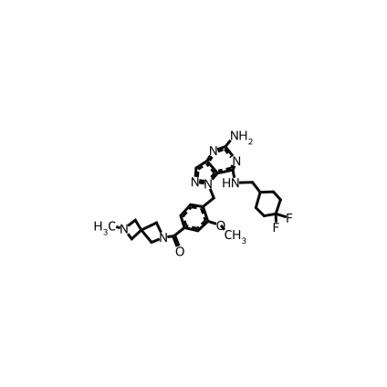 COc1cc(C(=O)N2CC3(CN(C)C3)C2)ccc1Cn1ncc2nc(N)nc(NCC3CCC(F)(F)CC3)c21